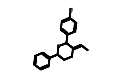 [CH2]/C=C1\CCC(c2ccccc2)OC1c1ccc(Cl)cc1